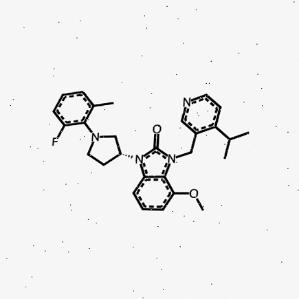 COc1cccc2c1n(Cc1cnccc1C(C)C)c(=O)n2[C@@H]1CCN(c2c(C)cccc2F)C1